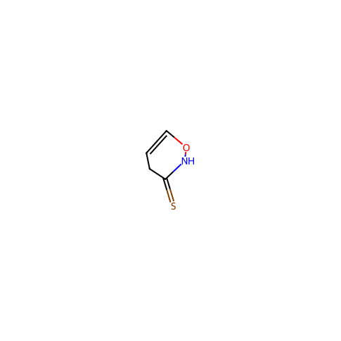 S=C1CC=CON1